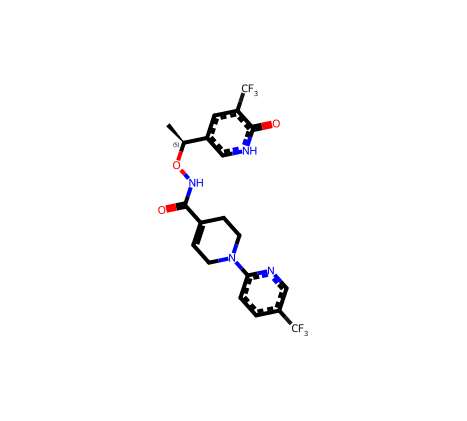 C[C@H](ONC(=O)C1=CCN(c2ccc(C(F)(F)F)cn2)CC1)c1c[nH]c(=O)c(C(F)(F)F)c1